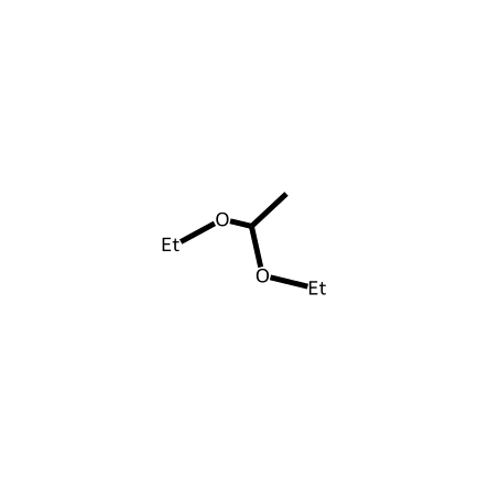 CCO[C](C)OCC